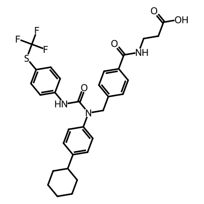 O=C(O)CCNC(=O)c1ccc(CN(C(=O)Nc2ccc(SC(F)(F)F)cc2)c2ccc(C3CCCCC3)cc2)cc1